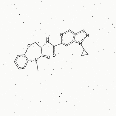 CN1C(=O)[C@@H](NC(=O)c2cc3c(cn2)cnn3C2CC2)COc2ccccc21